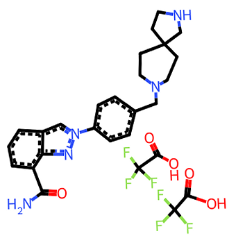 NC(=O)c1cccc2cn(-c3ccc(CN4CCC5(CCNC5)CC4)cc3)nc12.O=C(O)C(F)(F)F.O=C(O)C(F)(F)F